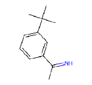 CC(=N)c1cccc(C(C)(C)C)c1